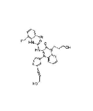 CC(C)c1cccc(C(C)C)c1NC(=O)Nc1c(-c2cccc(C#CCO)c2)c2cccnc2n(CCCO)c1=O